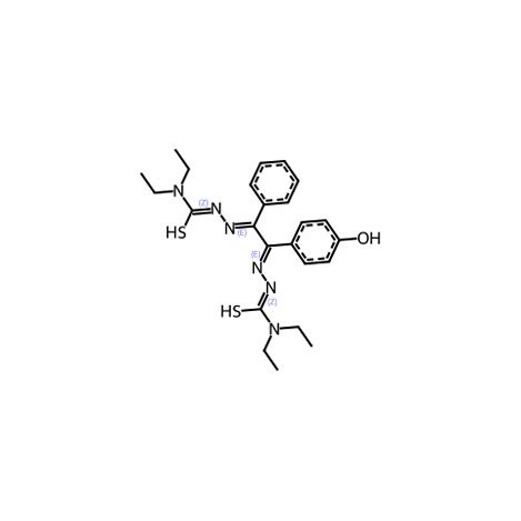 CCN(CC)/C(S)=N/N=C(/C(=N/N=C(\S)N(CC)CC)c1ccc(O)cc1)c1ccccc1